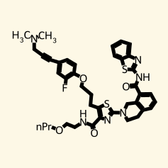 CCCOCCNC(=O)c1nc(N2CCc3cccc(C(=O)Nc4nc5ccccc5s4)c3C2)sc1CCCOc1ccc(C#CCN(C)C)cc1F